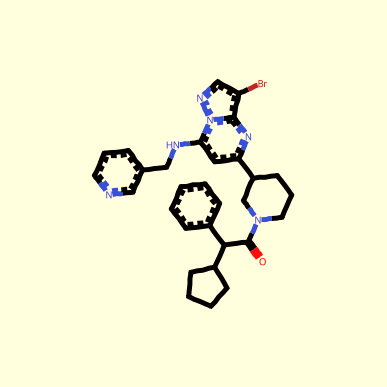 O=C(C(c1ccccc1)C1CCCC1)N1CCCC(c2cc(NCc3cccnc3)n3ncc(Br)c3n2)C1